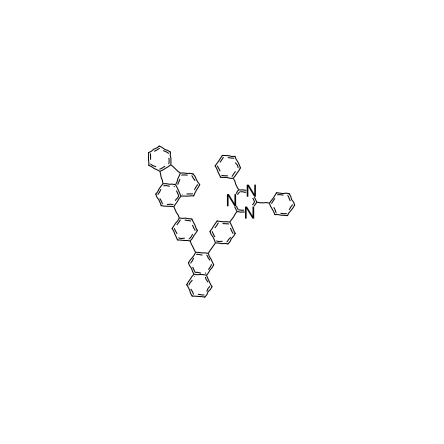 c1ccc(-c2nc(-c3ccccc3)nc(-c3ccc(-c4cc5ccccc5cc4-c4ccc(-c5ccc6c7c(cccc57)-c5ccccc5-6)cc4)cc3)n2)cc1